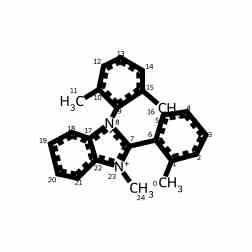 Cc1ccccc1-c1n(-c2c(C)cccc2C)c2ccccc2[n+]1C